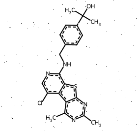 Cc1nc(C)c2c(n1)sc1c(NCc3ccc(C(C)(C)O)cc3)ncc(Cl)c12